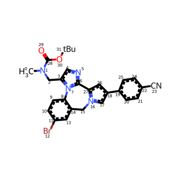 CN(Cc1cnc2n1-c1ccc(Br)cc1Cn1cc(-c3ccc(C#N)cc3)cc1-2)C(=O)OC(C)(C)C